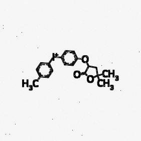 Cc1ccc([I+]c2ccc(OC3CC(C)(C)OC3=O)cc2)cc1